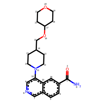 NC(=O)c1ccc2cncc(N3CCC(COC4CCOCC4)CC3)c2c1